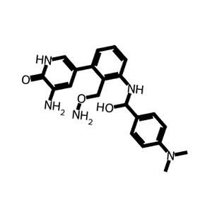 CN(C)c1ccc(C(O)Nc2cccc(-c3c[nH]c(=O)c(N)c3)c2CON)cc1